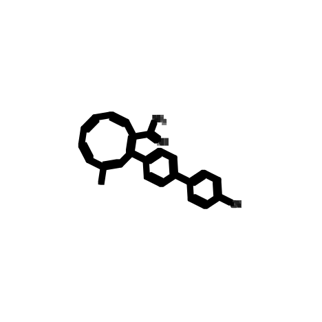 Cc1ccccccc(C(=N)N)c(-c2ccc(-c3ccc(C#N)cc3)cc2)c1